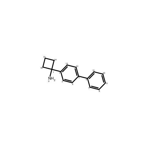 NC1(c2ccc(-c3[c]cccc3)cc2)CCC1